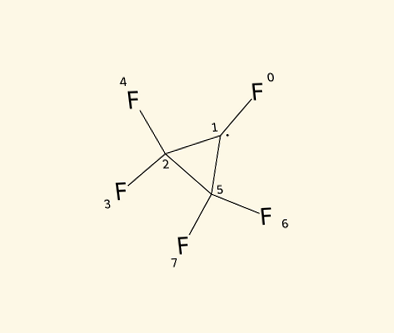 F[C]1C(F)(F)C1(F)F